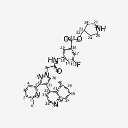 Cc1cccc(-c2nn(CC(=O)Nc3cc(F)cc(C(=O)OCC4CCNCC4)c3)cc2-c2ccnc3ccccc23)n1